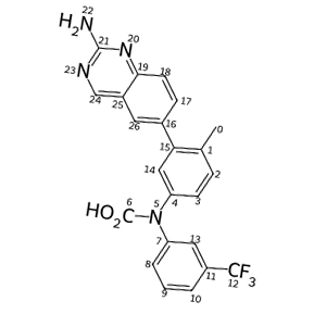 Cc1ccc(N(C(=O)O)c2cccc(C(F)(F)F)c2)cc1-c1ccc2nc(N)ncc2c1